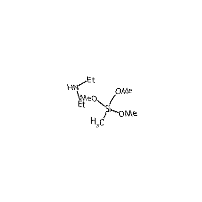 CCNCC.CO[Si](C)(OC)OC